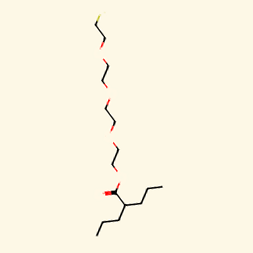 CCCC(CCC)C(=O)OCCOCCOCCOCCS